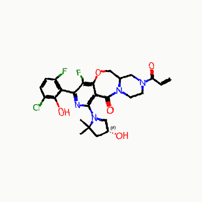 C=CC(=O)N1CCN2C(=O)c3c(N4C[C@H](O)CC4(C)C)nc(-c4c(F)ccc(Cl)c4O)c(F)c3OCC2C1